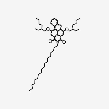 CCCCCCCCCCCCCCCCCCn1c(=O)c2cc(OCC(CC)CCCC)c3sc4ccccc4c4c(OCC(CC)CCCC)cc(c1=O)c2c34